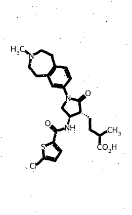 CC(CC[C@H]1C(=O)N(c2ccc3c(c2)CCN(C)CC3)C[C@@H]1NC(=O)c1ccc(Cl)s1)C(=O)O